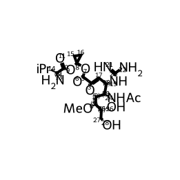 CO[C@H]([C@@H]1OC(C(=O)OC2(OC(=O)[C@@H](N)C(C)C)CC2)=C[C@H](NC(=N)N)[C@H]1NC(C)=O)[C@H](O)CO